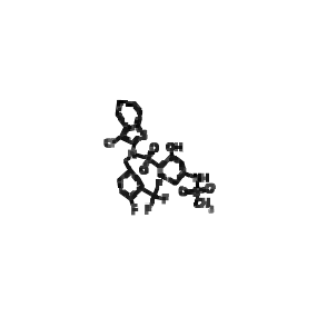 CS(=O)(=O)Nc1ccc(S(=O)(=O)N(Cc2ccc(F)c(C(F)(F)F)c2)c2sc3ccccc3c2Cl)c(O)c1